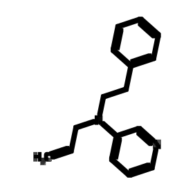 C=CCN(CCc1ccccc1)c1cccnc1